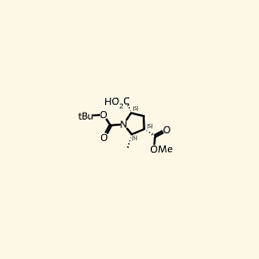 COC(=O)[C@H]1C[C@@H](C(=O)O)N(C(=O)OC(C)(C)C)[C@H]1C